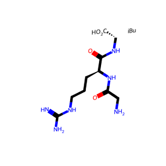 CC[C@H](C)[C@H](NC(=O)[C@H](CCCNC(=N)N)NC(=O)CN)C(=O)O